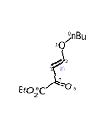 CCCCO/C=C/C(=O)C(=O)OCC